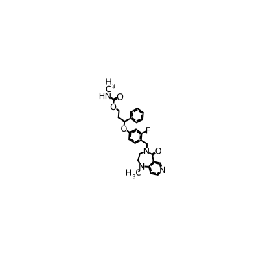 CNC(=O)OCCC(Oc1ccc(CN2CCN(C)c3ccncc3C2=O)c(F)c1)c1ccccc1